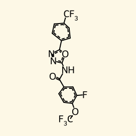 O=C(Nc1nnc(-c2ccc(C(F)(F)F)cc2)o1)c1ccc(OC(F)(F)F)c(F)c1